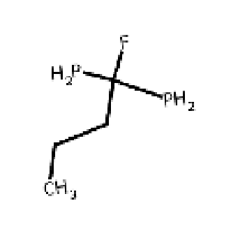 CCCC(F)(P)P